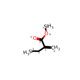 C=C(C[SiH3])C(=O)O[SiH3]